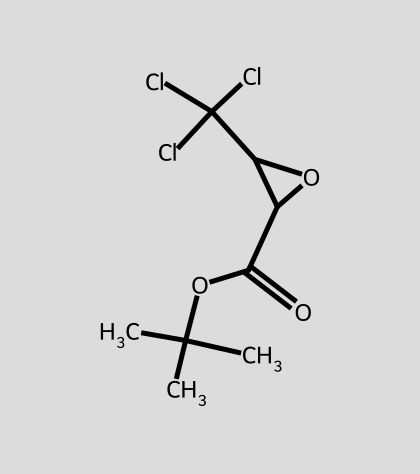 CC(C)(C)OC(=O)C1OC1C(Cl)(Cl)Cl